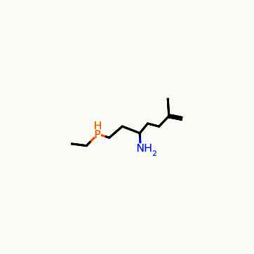 C=C(C)CCC(N)CCPCC